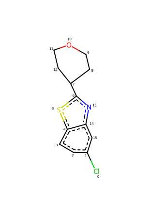 Clc1ccc2sc(C3CCOCC3)nc2c1